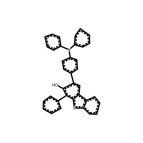 Oc1c(-c2ccc(N(c3ccccc3)c3ccccc3)cc2)cc2c(sc3ccccc32)c1-c1ccccc1